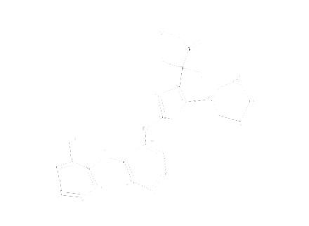 COC(=O)C(C)(C)c1nc(Nc2cccnc2Oc2ccccc2C(C)(C)C)sc1N1CCCCC1